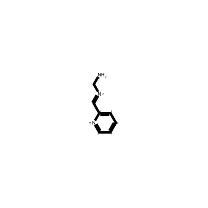 NCN=Cc1ccccn1